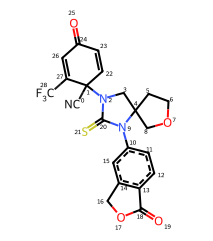 N#CC1(N2CC3(CCOC3)N(c3ccc4c(c3)COC4=O)C2=S)C=CC(=O)C=C1C(F)(F)F